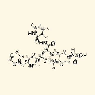 Cc1cc(C)c(CNC(=O)c2cc(-c3ccc(CN4CCOCC4)nc3)cc(N(C)[C@H]3CC[C@H](NC(=O)O)CC3)c2C)c(=O)[nH]1